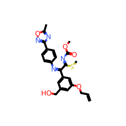 C=CCOc1cc(CO)cc(C(=Nc2ccc(-c3noc(C)n3)cc2)C(=NC(=O)OC)SC)c1